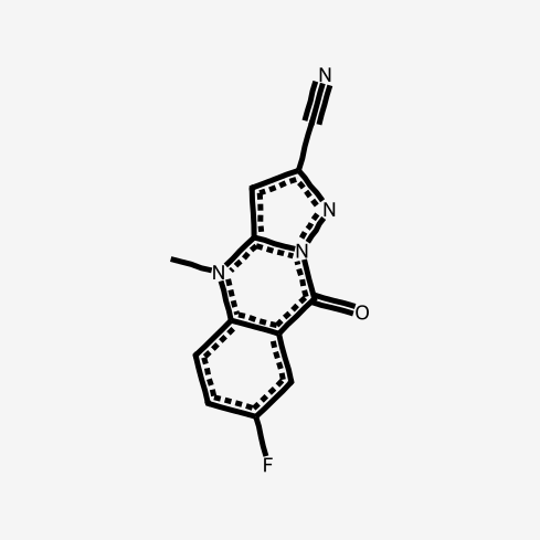 Cn1c2ccc(F)cc2c(=O)n2nc(C#N)cc12